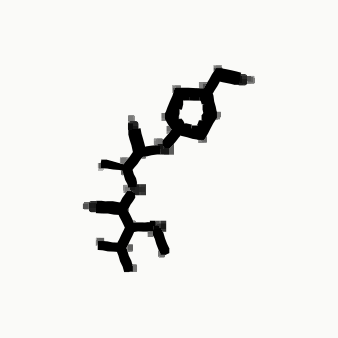 CNC(C(=O)N[C@@H](C)C(=O)Nc1ccc(C=O)cc1)C(C)C